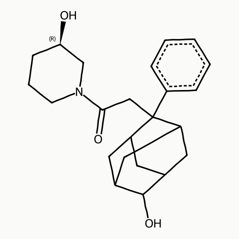 O=C(CC1(c2ccccc2)C2CC3CC1CC(C2)C3O)N1CCC[C@@H](O)C1